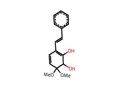 COC1(OC)C=CC(C=Cc2ccccc2)=C(O)C1O